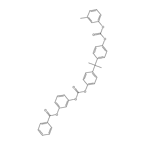 Cc1cccc(OC(=O)Oc2ccc(C(C)(C)c3ccc(OC(=O)Oc4cccc(OC(=O)c5ccccc5)c4)cc3)cc2)c1